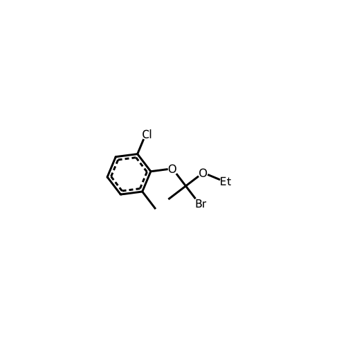 CCOC(C)(Br)Oc1c(C)cccc1Cl